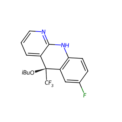 CC(C)CO[C@]1(C(F)(F)F)c2cc(F)ccc2Nc2ncccc21